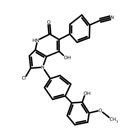 COc1cccc(-c2ccc(-n3c(Cl)cc4[nH]c(=O)c(-c5ccc(C#N)cc5)c(O)c43)cc2)c1O